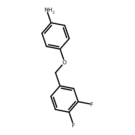 Nc1ccc(OCc2ccc(F)c(F)c2)cc1